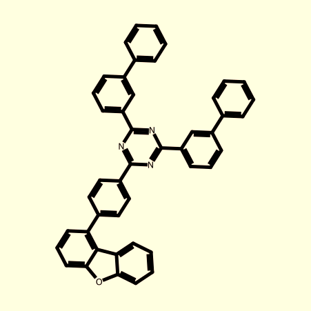 c1ccc(-c2cccc(-c3nc(-c4ccc(-c5cccc6oc7ccccc7c56)cc4)nc(-c4cccc(-c5ccccc5)c4)n3)c2)cc1